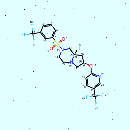 O=S(=O)(c1cccc(C(F)(F)F)c1)N1CCN2C[C@H](Oc3ccc(C(F)(F)F)cn3)C[C@H]2C1